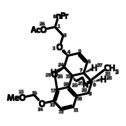 CCCC(CO[C@H]1C=C[C@H]2[C@H]3Cc4ccc(OCOC)c5c4[C@@]2(CCN3C)[C@H]1O5)OC(C)=O